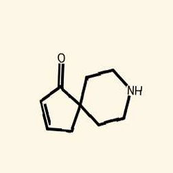 O=C1C=CCC12CCNCC2